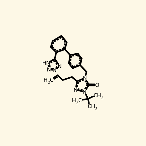 C=CCCc1nn(C(C)(C)C)c(=O)n1Cc1ccc(-c2ccccc2-c2nnn[nH]2)cc1